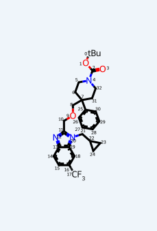 CC(C)(C)OC(=O)N1CCC(COCc2nc3ccc(C(F)(F)F)cc3n2CC2CC2)(c2ccccc2)CC1